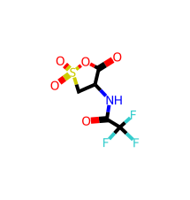 O=C1OS(=O)(=O)CC1NC(=O)C(F)(F)F